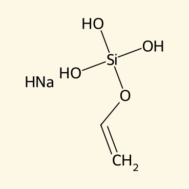 C=CO[Si](O)(O)O.[NaH]